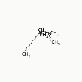 CCCCCCCCCCCC[N+](C)(C)CCCN(C)CCCC